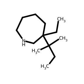 CCC(C)(C)C1(CC)CCCCNC1